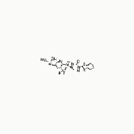 C[C@H]1CN(c2ncc(C[C@H](O)CO)cc2C(F)(F)F)CCN1C(=O)Nc1nc2ccccc2s1